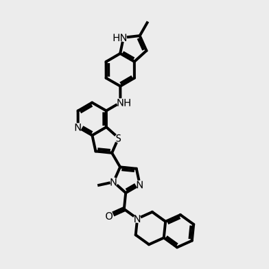 Cc1cc2cc(Nc3ccnc4cc(-c5cnc(C(=O)N6CCc7ccccc7C6)n5C)sc34)ccc2[nH]1